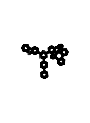 c1ccc(-c2ccc(-c3cc(-c4ccc5c(c4)C4(c6ccccc6-c6ccccc6-c6ccccc64)c4ccccc4-5)nc(-c4ccc5c(c4)oc4ccccc45)n3)cc2)cc1